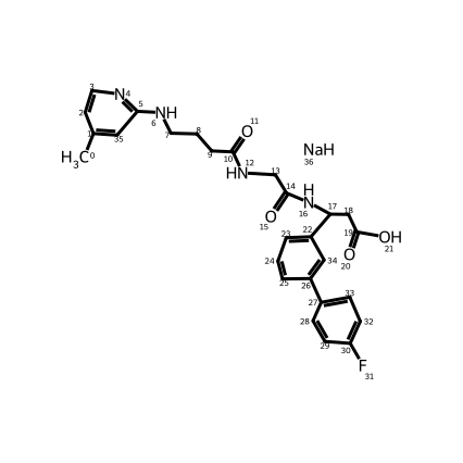 Cc1ccnc(NCCCC(=O)NCC(=O)NC(CC(=O)O)c2cccc(-c3ccc(F)cc3)c2)c1.[NaH]